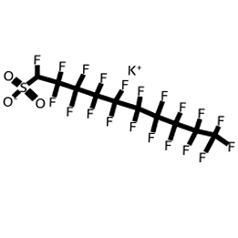 O=S(=O)([O-])C(F)C(F)(F)C(F)(F)C(F)(F)C(F)(F)C(F)(F)C(F)(F)C(F)(F)C(F)(F)C(F)(F)F.[K+]